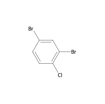 Clc1ccc(Br)cc1Br